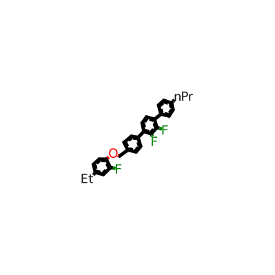 CCCc1ccc(-c2ccc(-c3ccc(COc4ccc(CC)cc4F)cc3)c(F)c2F)cc1